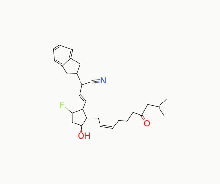 CC(C)CC(=O)CCC/C=C\CC1C(/C=C/C(C#N)C2Cc3ccccc3C2)C(F)C[C@@H]1O